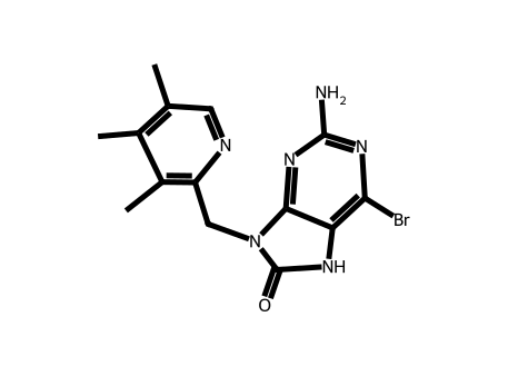 Cc1cnc(Cn2c(=O)[nH]c3c(Br)nc(N)nc32)c(C)c1C